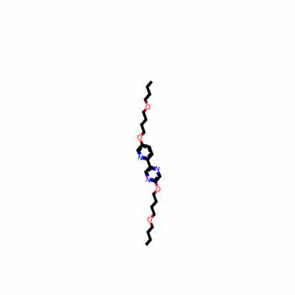 CCCCOCCCCOc1ccc(-c2cnc(OCCCCOCCCC)cn2)nc1